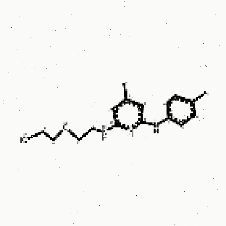 Cc1ccc(Nc2cc(C)cc(NCCOCCO)n2)cc1